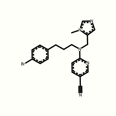 Cn1cncc1CN(CCCc1ccc(Br)cc1)c1ccc(C#N)cn1